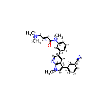 CN(C)C/C=C/C(=O)N(C)c1cccc(-c2cnc3c(c2)c(-c2cccc(C#N)c2)cn3C)c1